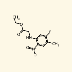 CCOC(=O)CNc1cc(F)c(C)cc1[N+](=O)[O-]